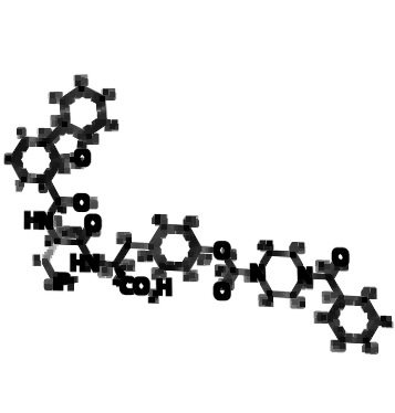 CC(C)C[C@H](NC(=O)c1cccc2c1oc1ccccc12)C(=O)N[C@@H](Cc1ccc(OC(=O)N2CCN(C(=O)c3ccccc3)CC2)cc1)C(=O)O